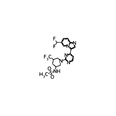 CS(=O)(=O)NC1CC(C(F)(F)F)CN(c2nccc(-c3cnc4ccc(C(F)F)cn34)n2)C1